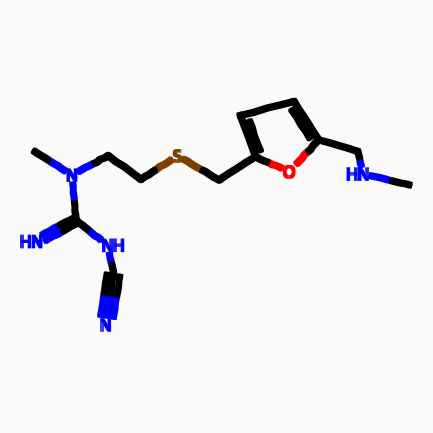 CNCc1ccc(CSCCN(C)C(=N)NC#N)o1